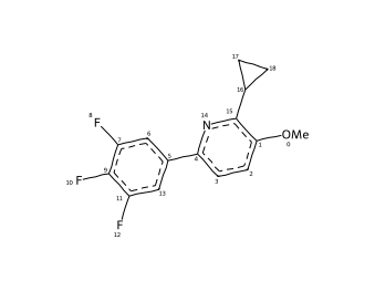 COc1ccc(-c2cc(F)c(F)c(F)c2)nc1C1CC1